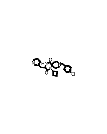 O=C1[C@@H](Cc2cccnc2)NC(=O)C2(CCN(Cc3ccc(Cl)cc3)CC2)N1C1CCC1